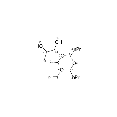 C=COC(CCC)OC(CCC)OC=C.CC(O)CO